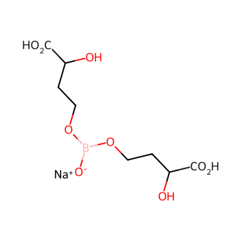 O=C(O)C(O)CCOB([O-])OCCC(O)C(=O)O.[Na+]